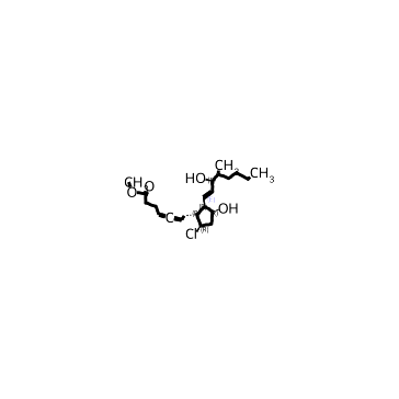 CCCCC(C)[C@H](O)/C=C/[C@@H]1[C@@H](CC=C=CCCC(=O)OC)[C@H](Cl)C[C@H]1O